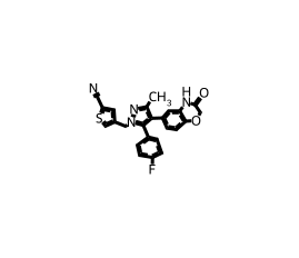 Cc1nn(Cc2csc(C#N)c2)c(-c2ccc(F)cc2)c1-c1ccc2c(c1)NC(=O)CO2